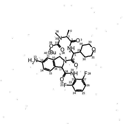 C[C@@H](C(=O)NC(C(=O)N1Cc2cc(N)ccc2C1C(=O)Nc1c(F)cccc1F)C1CCOCC1)N(C)C(=O)OC(C)(C)C